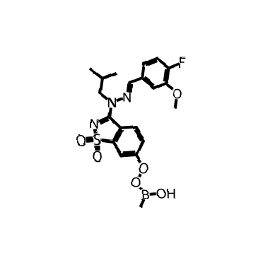 COc1cc(/C=N/N(CC(C)C)C2=NS(=O)(=O)c3cc(OOB(C)O)ccc32)ccc1F